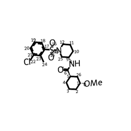 CO[C@@H]1CCC[C@@H](C(=O)N[C@H]2CCCN(S(=O)(=O)c3cccc(Cl)c3C)C2)C1